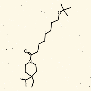 CCC1(C(C)C)CCN(C(=O)CCCCCCCOC(C)(C)C)CC1